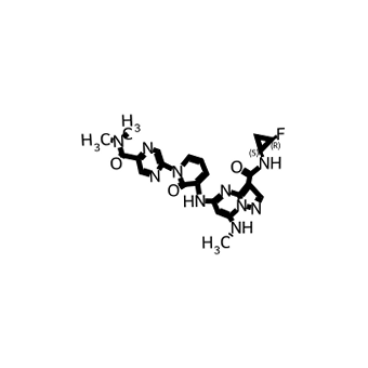 CNc1cc(Nc2cccn(-c3cnc(C(=O)N(C)C)cn3)c2=O)nc2c(C(=O)N[C@H]3C[C@H]3F)cnn12